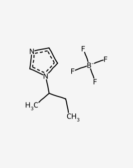 CCC(C)n1ccnc1.F[B-](F)(F)F